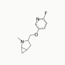 CN1C(COc2ccc(F)nc2)CC2CC21